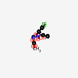 CS(=O)(=O)c1ccc(S(=O)(=O)N2CCC[C@@H]2CN(C(=O)c2ccc(-c3ccc(C(F)(F)F)cc3)cc2)[C@@H](Cc2ccc(-c3ccccc3)cc2)C(=O)O)cc1